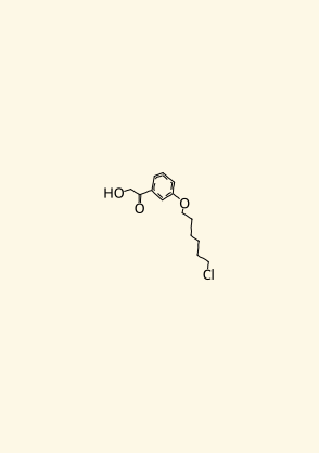 O=C(CO)c1cccc(OCCCCCCCl)c1